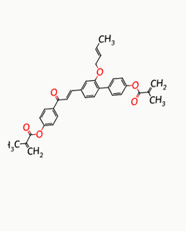 C=C(C)C(=O)Oc1ccc(C(=O)/C=C/c2ccc(-c3ccc(OC(=O)C(=C)C)cc3)c(OC/C=C/C)c2)cc1